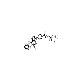 Cc1ncccc1Oc1ncnc2c1cnn2C1CCN(C(=O)OCC(C)C)CC1